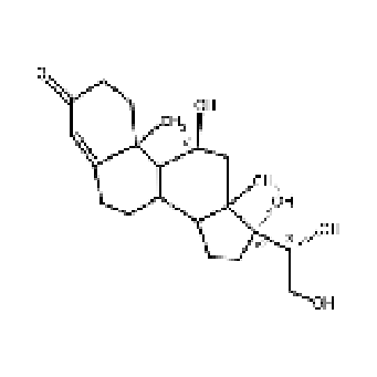 CC12CCC(=O)C=C1CCC1C2[C@@H](O)CC2(C)C1CC[C@]2(O)[C@H](O)CO